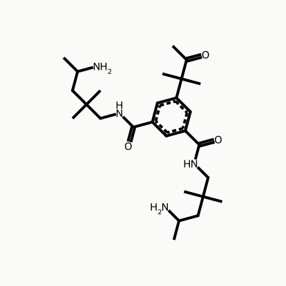 CC(=O)C(C)(C)c1cc(C(=O)NCC(C)(C)CC(C)N)cc(C(=O)NCC(C)(C)CC(C)N)c1